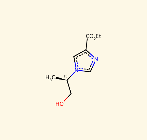 CCOC(=O)c1cn([C@H](C)CO)cn1